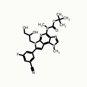 CN(C(=O)OC(C)(C)C)c1nc2c(cc(-c3cc(F)cc(C#N)c3)n2CC(O)CO)c2c1ncn2C